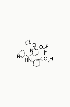 O=C(O)c1cccc(NC(c2cccnc2)c2ccc(OC(F)F)c(OC3CCC3)n2)c1